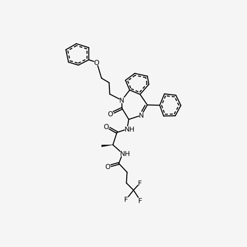 C[C@H](NC(=O)CCC(F)(F)F)C(=O)NC1N=C(c2ccccc2)c2ccccc2N(CCCOc2ccccc2)C1=O